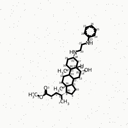 COC(=O)CCC(C)[C@H]1CCC2C3C[C@@H](O)[C@H]4C[C@@H](NCCNc5ccccc5)CC[C@]4(C)C3CC[C@@]21C